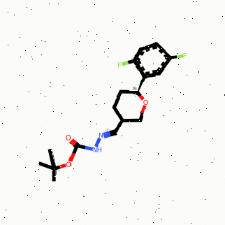 CC(C)(C)OC(=O)N/N=C/C1CC[C@@H](c2cc(F)ccc2F)OC1